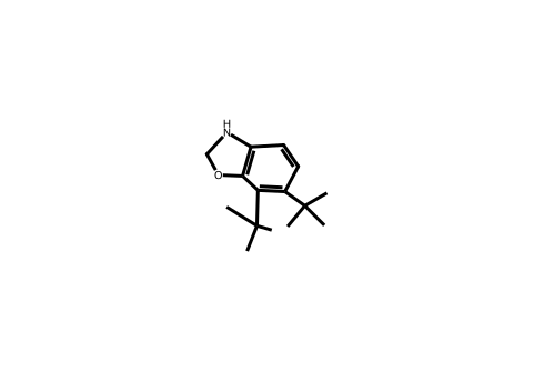 CC(C)(C)c1ccc2c(c1C(C)(C)C)OCN2